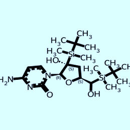 CC(C)(C)[Si](C)(C)C(O)[C@@H]1C[C@](O)([Si](C)(C)C(C)(C)C)[C@H](n2ccc(N)nc2=O)O1